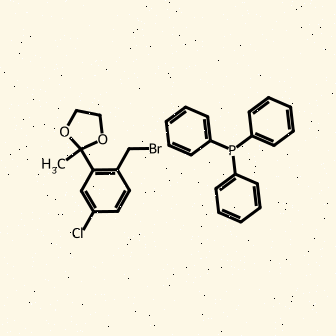 CC1(c2cc(Cl)ccc2CBr)OCCO1.c1ccc(P(c2ccccc2)c2ccccc2)cc1